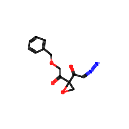 [N-]=[N+]=CC(=O)C1(C(=O)COCc2ccccc2)CO1